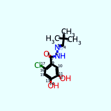 CC(C)(C)/C=N/NC(=O)c1cc(O)c(O)cc1Cl